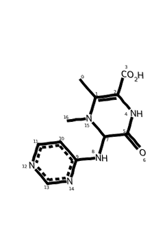 CC1=C(C(=O)O)NC(=O)C(Nc2ccncn2)N1C